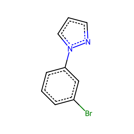 Brc1cccc(-n2cccn2)c1